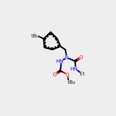 CCNC(=O)N(Cc1ccc(C(C)(C)C)cc1)NC(=O)OC(C)(C)C